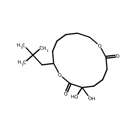 CC(C)(C)CC1CCCCCOC(=O)CCCC(O)(O)C(=O)O1